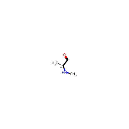 CN[C@H](C)[C]=O